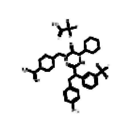 N=C(N)N1CCC(CNC(=O)[C@@H](NC(=O)C(Cc2ccc(N)cc2)c2cccc(C(F)(F)F)c2)C2CCCCC2)CC1.O=C(O)C(F)(F)F